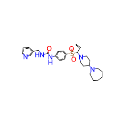 C=CC(N1CCC(N2CCCCCC2)CC1)S(=O)(=O)c1ccc(NC(=O)NCc2cccnc2)cc1